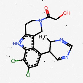 CC1N=CN=CC1c1cc(Cl)c(Cl)c2[nH]c3c(c12)CN(C(=O)CO)CC3